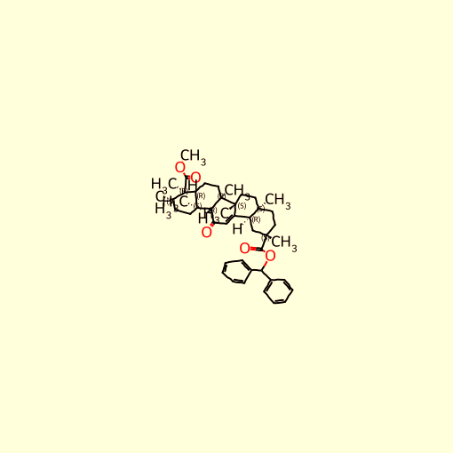 COC(=O)[C@@]1(C)[C@@H]2CC[C@]3(C)[C@H](C(=O)C=C4[C@@H]5C[C@@](C)(C(=O)OC(c6ccccc6)c6ccccc6)CC[C@]5(C)CC[C@]43C)[C@@]2(C)CC[C@@H]1C